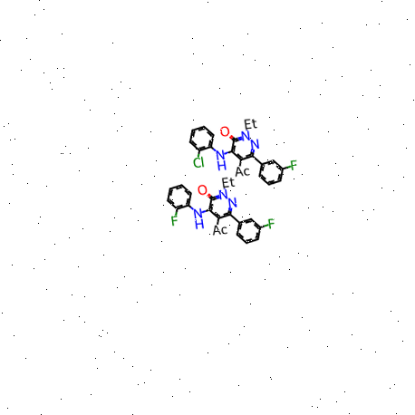 CCn1nc(-c2cccc(F)c2)c(C(C)=O)c(Nc2ccccc2Cl)c1=O.CCn1nc(-c2cccc(F)c2)c(C(C)=O)c(Nc2ccccc2F)c1=O